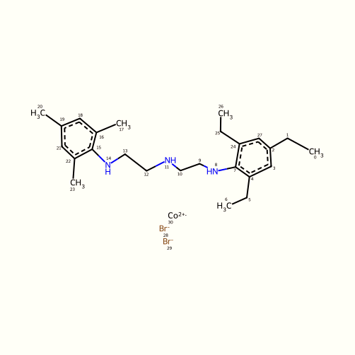 CCc1cc(CC)c(NCCNCCNc2c(C)cc(C)cc2C)c(CC)c1.[Br-].[Br-].[Co+2]